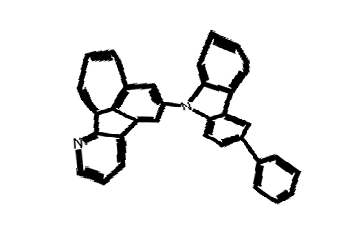 c1ccc(-c2ccc3c(c2)c2ccccc2n3-c2cc3c4c(cccc4c2)-c2ncccc2-3)cc1